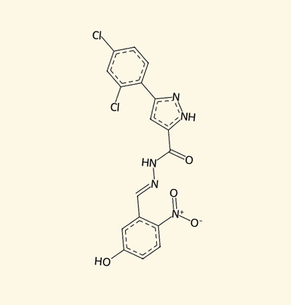 O=C(N/N=C/c1cc(O)ccc1[N+](=O)[O-])c1cc(-c2ccc(Cl)cc2Cl)n[nH]1